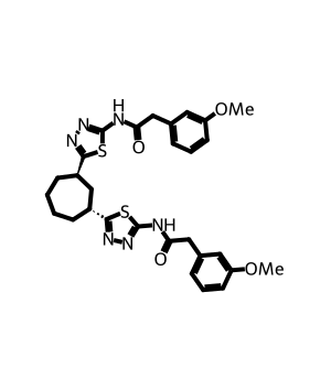 COc1cccc(CC(=O)Nc2nnc([C@@H]3CCCC[C@@H](c4nnc(NC(=O)Cc5cccc(OC)c5)s4)C3)s2)c1